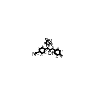 N#Cc1ccc(C(C(O)Cc2ccc(F)cc2)n2ccnn2)cc1